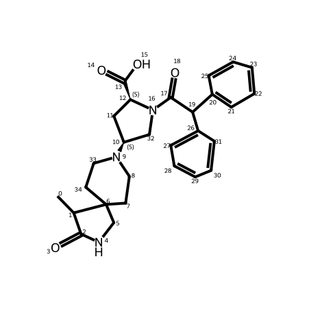 CC1C(=O)NCC12CCN([C@H]1C[C@@H](C(=O)O)N(C(=O)C(c3ccccc3)c3ccccc3)C1)CC2